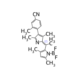 CC1=N/C(=C(/C)c2c(C)cc(C)n2B(F)F)C(C)=C1c1ccc(C#N)cc1C